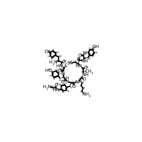 C[C@@H]1NC(=O)[C@H](CCCCN)NC(=O)[C@@H](Cc2ccc(NC(=O)CN)cc2)NC(=O)[C@H](Cc2ccc(O)cc2)NC(=O)[C@H](NC(=O)[C@@H](N)Cc2ccc(Cl)cc2)CSSC[C@@H](C(=O)N[C@H](Cc2ccc(O)cc2)C(N)=O)NC1=O